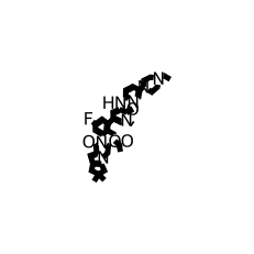 CCN1CCN(c2ccc(Nc3cc(-c4cc(F)cc(N5CCn6c(cc7c6CC(C)(C)C7)C5=O)c4COC(C)=O)cn(C)c3=O)nc2)CC1